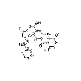 COc1ccc(OC)c(C(=O)c2ccc(C(=O)O)c([C@@H]3CN(C)CC3NC(=O)c3ccncc3)c2)c1F